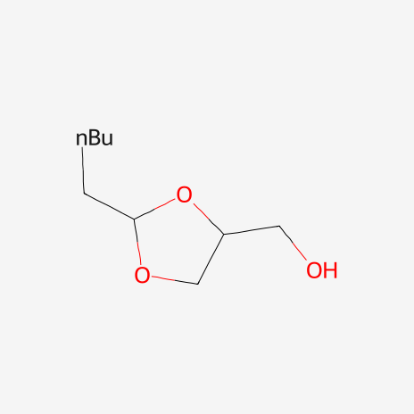 CCCCCC1OCC(CO)O1